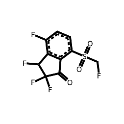 O=C1c2c(S(=O)(=O)CF)ccc(F)c2C(F)C1(F)F